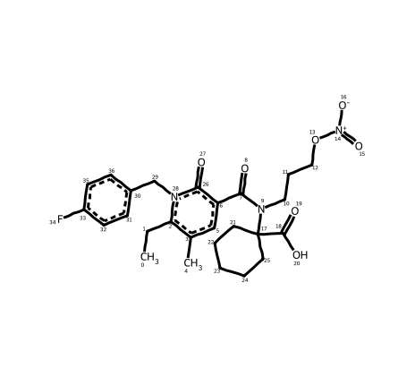 CCc1c(C)cc(C(=O)N(CCCO[N+](=O)[O-])C2(C(=O)O)CCCCC2)c(=O)n1Cc1ccc(F)cc1